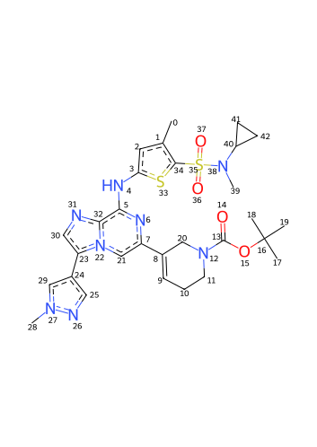 Cc1cc(Nc2nc(C3=CCCN(C(=O)OC(C)(C)C)C3)cn3c(-c4cnn(C)c4)cnc23)sc1S(=O)(=O)N(C)C1CC1